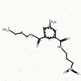 O=C(NCCC[SH](=O)=O)c1cc(C(=O)NCCCS(=O)(=O)O)cc(S(=O)(=O)O)c1